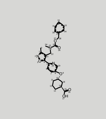 Cc1noc(-c2ccc(O[C@H]3CCC[C@H](C(=O)O)C3)cn2)c1CN(C)C(=O)OCc1ccccc1